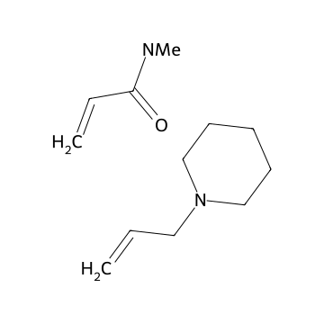 C=CC(=O)NC.C=CCN1CCCCC1